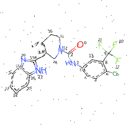 O=C(Nc1ccc(Cl)c(C(F)(F)F)c1)N1CCCC(c2nc3ccccc3[nH]2)C1